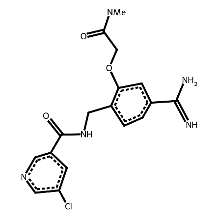 CNC(=O)COc1cc(C(=N)N)ccc1CNC(=O)c1cncc(Cl)c1